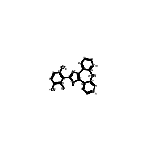 N#Cc1ccc(C(F)(F)F)c(-c2nc3c([nH]2)-c2ccncc2Nc2ncccc2-3)c1F